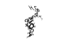 COCCO[C@@H](C)COc1cc2n(c(=O)n1)CCc1cc(OCC3CC3)ccc1-2